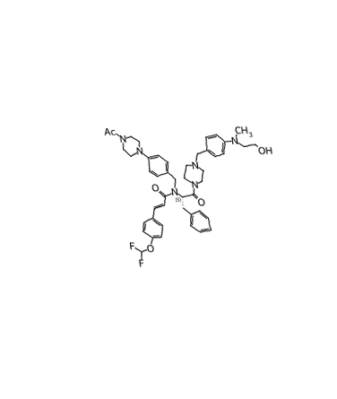 CC(=O)N1CCN(c2ccc(CN(C(=O)C=Cc3ccc(OC(F)F)cc3)[C@@H](Cc3ccccc3)C(=O)N3CCN(Cc4ccc(N(C)CCO)cc4)CC3)cc2)CC1